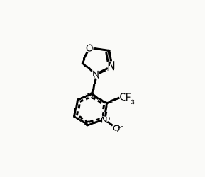 [O-][n+]1cccc(N2COC=N2)c1C(F)(F)F